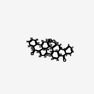 O=C1c2ccccc2-c2cc(O)c3c4c(O)cc5c6c(ccc(c7ccc1c2c73)c64)C(=O)c1ccccc1-5